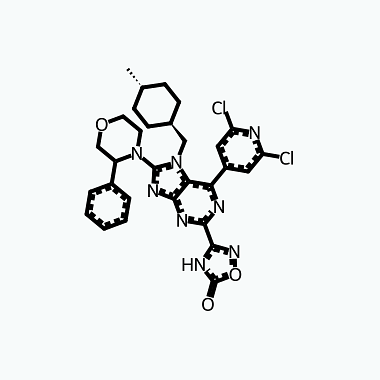 C[C@H]1CC[C@H](Cn2c(N3CCOCC3c3ccccc3)nc3nc(-c4noc(=O)[nH]4)nc(-c4cc(Cl)nc(Cl)c4)c32)CC1